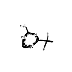 CC(F)(F)c1ncnc(C(F)(F)F)n1